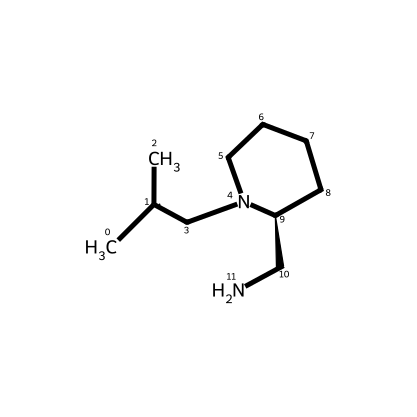 C[C](C)CN1CCCC[C@H]1CN